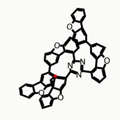 c1ccc2c(c1)oc1cc(-c3nc(-c4cccc5oc6ccc(-c7ccc8oc9ccccc9c8c7)cc6c45)nc(-c4cccc5oc6ccc(-c7ccc8oc9ccccc9c8c7)cc6c45)n3)ccc12